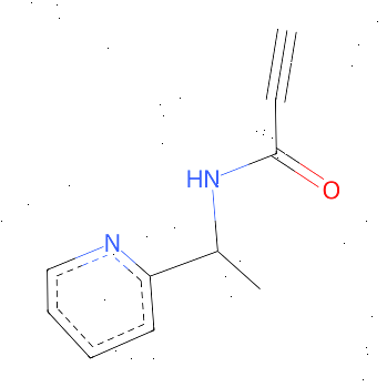 C#CC(=O)NC(C)c1ccccn1